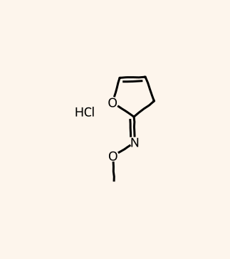 CON=C1CC=CO1.Cl